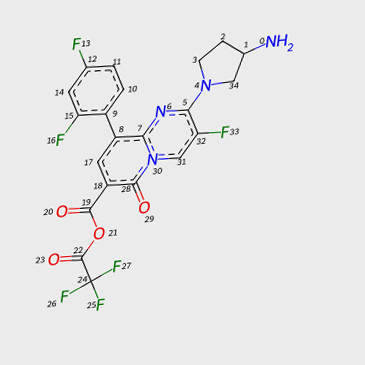 NC1CCN(c2nc3c(-c4ccc(F)cc4F)cc(C(=O)OC(=O)C(F)(F)F)c(=O)n3cc2F)C1